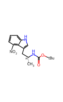 C[C@H](Cc1c[nH]c2cccc([N+](=O)[O-])c12)NC(=O)OC(C)(C)C